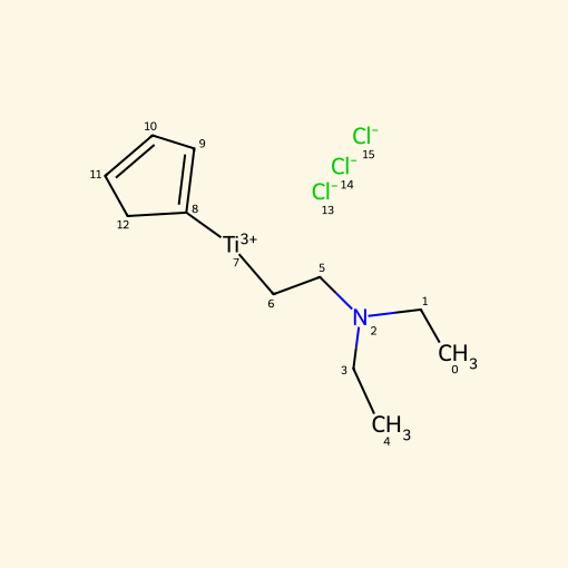 CCN(CC)C[CH2][Ti+3][C]1=CC=CC1.[Cl-].[Cl-].[Cl-]